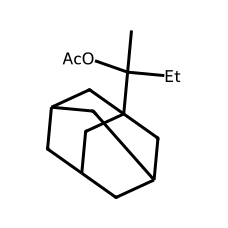 CCC(C)(OC(C)=O)C12CC3CC(CC(C3)C1)C2